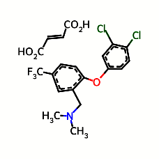 CN(C)Cc1cc(C(F)(F)F)ccc1Oc1ccc(Cl)c(Cl)c1.O=C(O)C=CC(=O)O